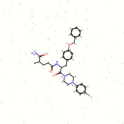 CC(C[CH]C(=O)NC(Cc1ccc(OCc2ccccc2)cc1)C(=O)N1CCN(c2ccc(F)cc2)CC1)C(N)=O